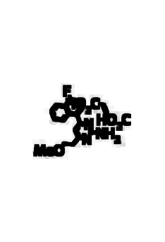 COCCc1cc(-c2ccc(F)c3ccccc23)nc(N)n1.O=C(O)/C=C\C(=O)O